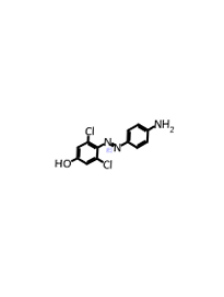 Nc1ccc(/N=N/c2c(Cl)cc(O)cc2Cl)cc1